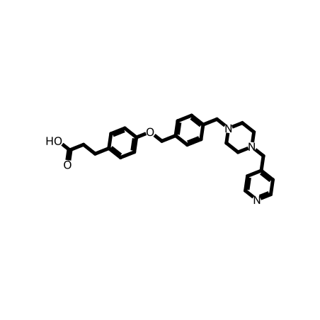 O=C(O)CCc1ccc(OCc2ccc(CN3CCN(Cc4ccncc4)CC3)cc2)cc1